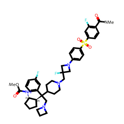 CNC(=O)c1ccc(S(=O)(=O)c2ccc(N3CC(F)(CN4CCC(C(CN5CCC5)(c5cccc(F)c5)[C@H]5CCC[C@@H]5NC(=O)OC)CC4)C3)cc2)cc1F